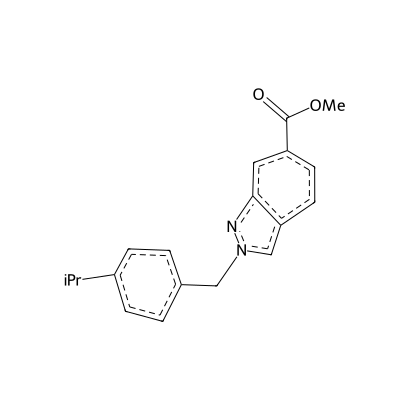 COC(=O)c1ccc2cn(Cc3ccc(C(C)C)cc3)nc2c1